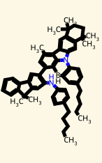 CCCCCc1ccc(Nc2cc3c(cc2-c2cc(C)c4c5cc6c(cc5n5c4c2Bc2cc(CCCCC)ccc2-5)C(C)(C)CCC6(C)C)-c2ccccc2C3(C)C)cc1